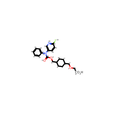 O=C(O)COCC1CCC(COC(=O)N(c2ccccc2)c2ccc(F)nc2)CC1